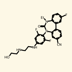 CCN1C(=O)N(c2c(F)cc(NCCNCCO)cc2F)c2cc(C#N)ccc2-c2cc(F)ccc21